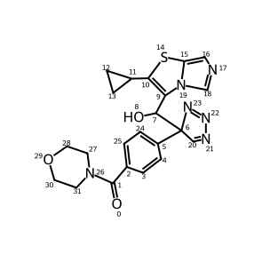 O=C(c1ccc(C2(C(O)c3c(C4CC4)sc4cncn34)C=NN=N2)cc1)N1CCOCC1